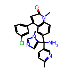 Cc1ccc(C(N)(c2ccc3c(c2)c(-c2cccc(Cl)c2)cc(=O)n3C)c2cncn2C)cn1